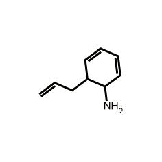 C=CCC1C=CC=CC1N